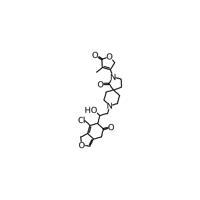 CC1=C(N2CCC3(CCN(CC(O)C4C(=O)CC5=COCC5=C4Cl)CC3)C2=O)COC1=O